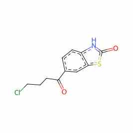 O=C(CCCCl)c1ccc2[nH]c(=O)sc2c1